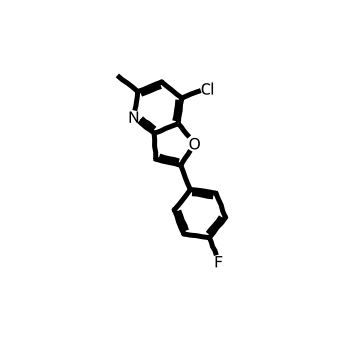 Cc1cc(Cl)c2oc(-c3ccc(F)cc3)cc2n1